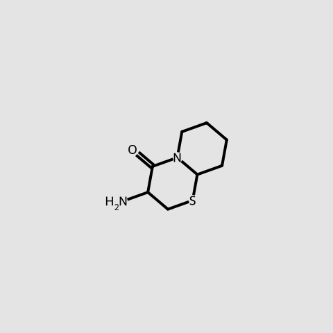 NC1CSC2CCCCN2C1=O